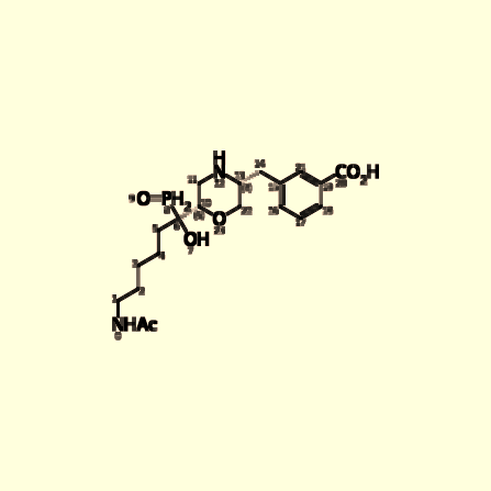 CC(=O)NCCCCCC(O)([PH2]=O)[C@@H]1CN[C@H](Cc2cccc(C(=O)O)c2)CO1